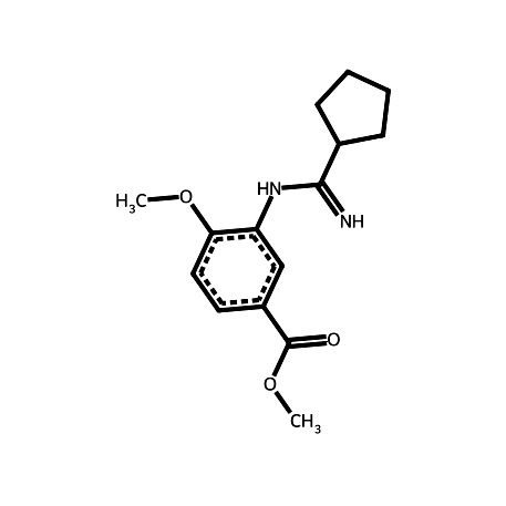 COC(=O)c1ccc(OC)c(NC(=N)C2CCCC2)c1